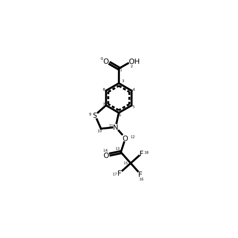 O=C(O)c1ccc2c(c1)SCN2OC(=O)C(F)(F)F